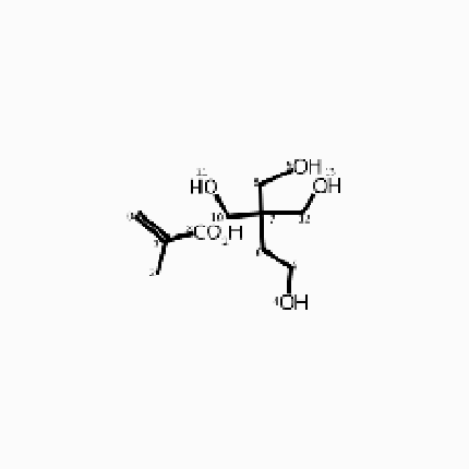 C=C(C)C(=O)O.OCCC(CO)(CO)CO